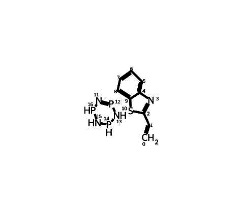 C=Cc1nc2ccccc2s1.n1p[nH][pH][nH][pH]1